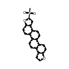 CS(=O)(=O)c1cc2c(ccc3c2ccc2c4ccc5occc5c4ccc32)o1